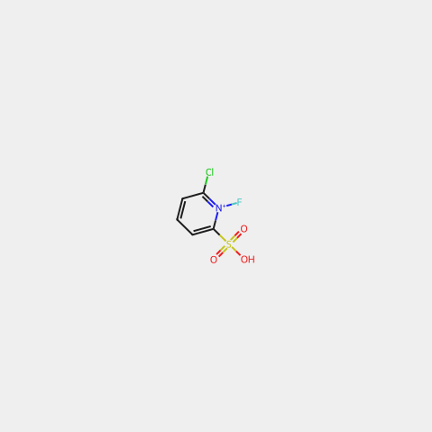 O=S(=O)(O)c1cccc(Cl)[n+]1F